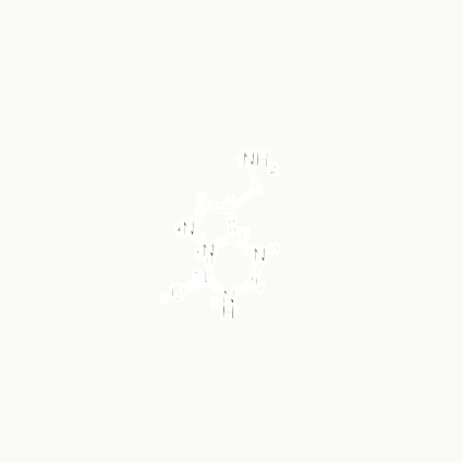 NCc1cnn2c(=O)[nH]cnc12